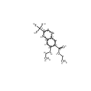 CCOC(=O)c1cc2ncc(C(F)(F)F)nc2cc1SCC